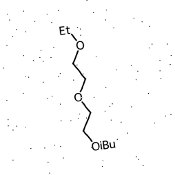 CCOCCOCCOCC(C)C